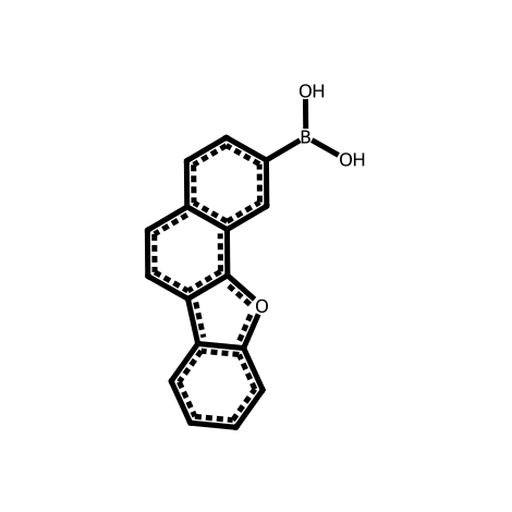 OB(O)c1ccc2ccc3c4ccccc4oc3c2c1